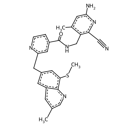 CSc1cc(Cc2cc(C(=O)NCc3c(C)cc(N)nc3C#N)ccn2)cc2cc(C)cnc12